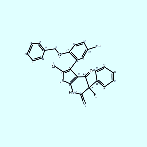 O=C1Nc2sc(Cl)c(-c3cc(F)ccc3OCc3ccccc3)c2C(=O)C1(F)c1ccccc1